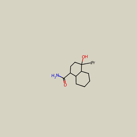 CC(C)C1(O)CCC(C(N)=O)C2CCCCC21